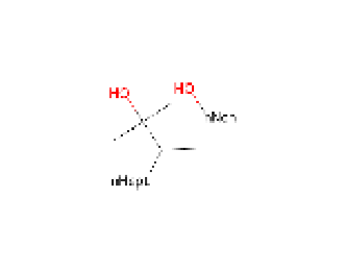 CCCCCCCC(C)C(C)(C)O.CCCCCCCCCO